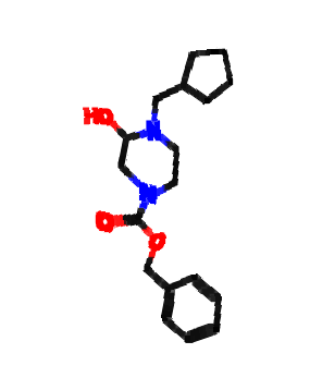 O=C(OCc1ccccc1)N1CCN(CC2CCCC2)C(O)C1